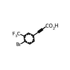 O=C(O)C#Cc1ccc(Br)c(C(F)(F)F)c1